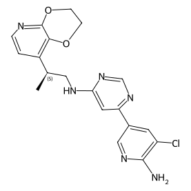 C[C@H](CNc1cc(-c2cnc(N)c(Cl)c2)ncn1)c1ccnc2c1OCCO2